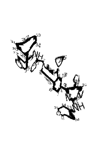 O=C(CN1Cc2ccc(-c3nc(NC4CCOCC4)ncc3Cl)cc2C1=O)NC1(c2ccccc2)COC1